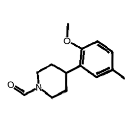 COc1ccc(F)cc1C1CCN(C=O)CC1